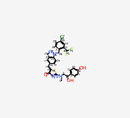 CN(C[C@H](O)c1ccc(O)cc1)C1=NC(=O)/C(=C/c2ccc3c(cnn3Cc3ccc(Cl)cc3C(F)F)c2)S1